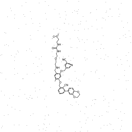 Cc1cc(CNCCOCCNC(=O)NCC[S+](C)[O-])c(OCc2cncc(C#N)c2)cc1OCc1cccc(-c2ccc3c(c2)OCCO3)c1C#N